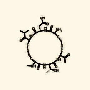 CN[C@H]1CSSC[C@@H](C(=O)C(C)C)NC(=O)[C@H](CC(=O)O)NC(=O)[C@@H](N)CSSC[C@@H](C(C)=O)NC(=O)C([C@@H](C)O)NC1=O